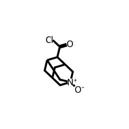 O=C(Cl)C1C2CC3CC1C[N+]([O-])(C3)C2